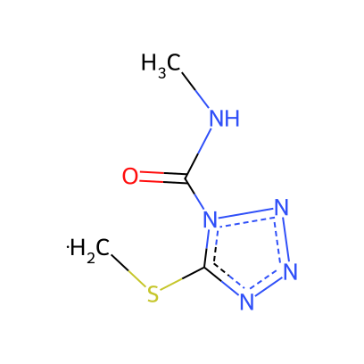 [CH2]Sc1nnnn1C(=O)NC